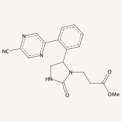 COC(=O)CCN1C(=O)NCC1c1ccccc1-c1cnc(C#N)cn1